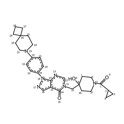 O=C(C1CC1)N1CCC(O)(Cn2cnc3c(cnn3-c3ccc(N4CCC5(CCC5)CC4)cc3)c2=O)CC1